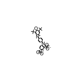 CC1(N=C2C=CC(=Nc3ccc([N+](=O)[O-])cc3[N+](=O)[O-])C=C2)C=C(C(C)(C)C)C(=O)C(C(C)(C)C)=C1